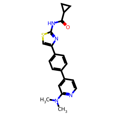 CN(C)c1cc(-c2ccc(-c3csc(NC(=O)C4CC4)n3)cc2)ccn1